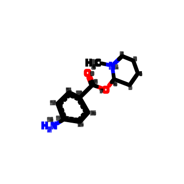 CN1CCCCC1OC(=O)c1ccc(N)cc1